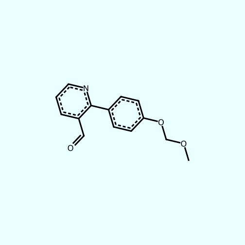 COCOc1ccc(-c2ncccc2C=O)cc1